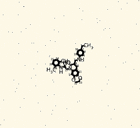 CCc1ccc(NCC2=Cc3cc4c(cc3N(CC(=O)Nc3c(C)cccc3C)C2O)OCCO4)cc1